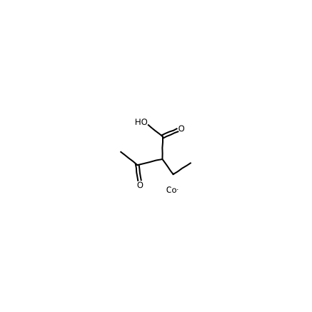 CCC(C(C)=O)C(=O)O.[Co]